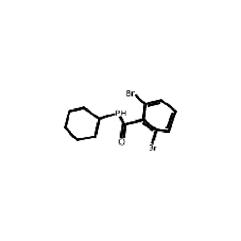 O=C(PC1CCCCC1)c1c(Br)cccc1Br